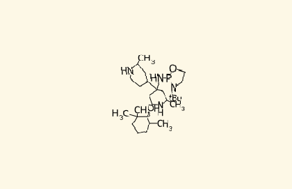 CC1CC(C2(NP3OCCN3C(C)(C)C)CCNC(C)C2)CCN1.CC1CCCC(C)(C)C1O